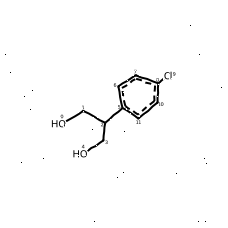 OCC(CO)c1ccc(Cl)cc1